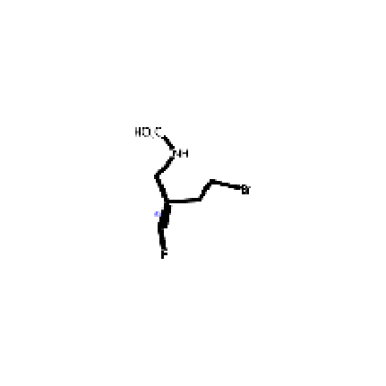 O=C(O)NC/C(=C/F)CCBr